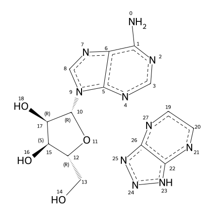 Nc1ncnc2c1ncn2[C@@H]1O[C@H](CO)[C@@H](O)[C@H]1O.c1cnc2[nH]nnc2n1